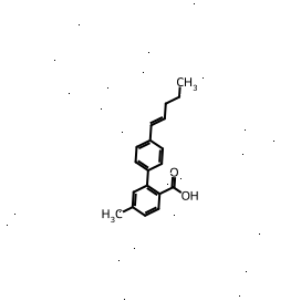 CCCC=Cc1ccc(-c2cc(C)ccc2C(=O)O)cc1